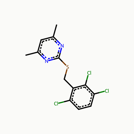 Cc1cc(C)nc(SCc2c(Cl)ccc(Cl)c2Cl)n1